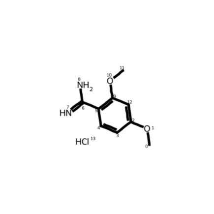 COc1ccc(C(=N)N)c(OC)c1.Cl